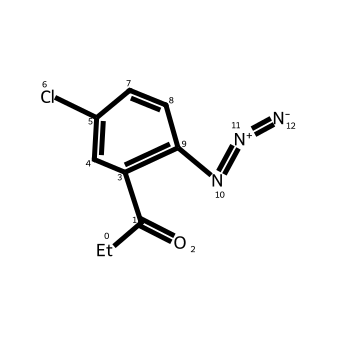 CCC(=O)c1cc(Cl)ccc1N=[N+]=[N-]